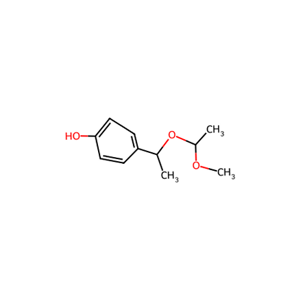 COC(C)OC(C)c1ccc(O)cc1